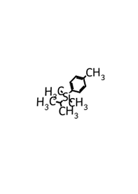 Cc1ccc([Si](C)(C)C(C)C)cc1